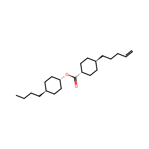 C=CCCC[C@H]1CC[C@H](C(=O)O[C@H]2CC[C@H](CCCC)CC2)CC1